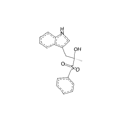 C[C@@](O)(Cc1c[nH]c2ccccc12)S(=O)(=O)c1ccccc1